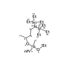 CCC[Si](C)(OCC)OC(C)CCN([Si](CC)(CC)CC)[Si](CC)(CC)CC